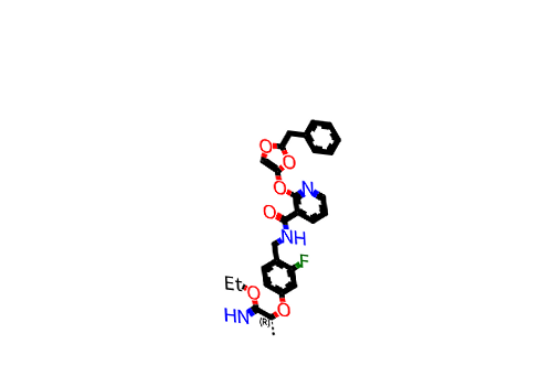 CCOC(=N)[C@@H](C)Oc1ccc(CNC(=O)c2cccnc2OC2=COC(Cc3ccccc3)O2)c(F)c1